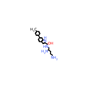 Cc1ccc(-c2ccc3cc(C(O)NC[C@@H](N)CCCN)[nH]c3c2)cc1